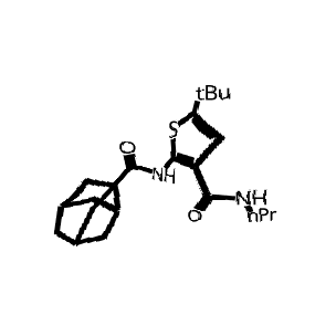 CCCNC(=O)c1cc(C(C)(C)C)sc1NC(=O)C12CC3CC(CC1C3)C2